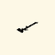 [N-]=[N+]=NCCOCCOCCOCCC(=O)OC[C@@H](O)CNC(=O)c1ccncc1Nc1ccc(I)cc1F